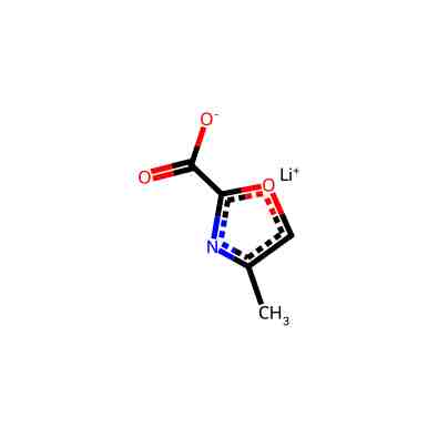 Cc1coc(C(=O)[O-])n1.[Li+]